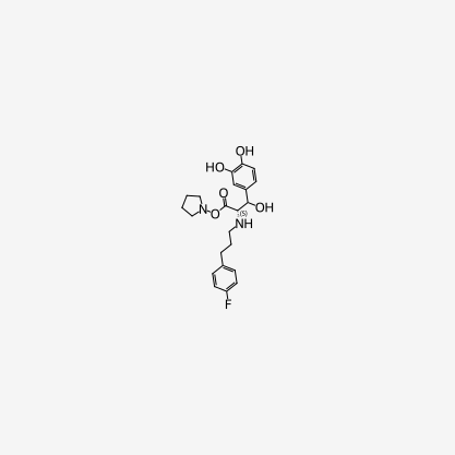 O=C(ON1CCCC1)[C@@H](NCCCc1ccc(F)cc1)C(O)c1ccc(O)c(O)c1